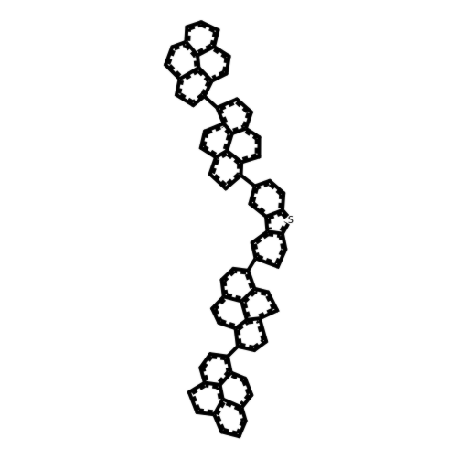 c1cc2ccc3ccc(-c4ccc5ccc6c(-c7ccc8sc9ccc(-c%10ccc%11ccc%12c(-c%13ccc%14ccc%15cccc%16ccc%13c%14c%15%16)ccc%13ccc%10c%11c%13%12)cc9c8c7)ccc7ccc4c5c76)c4ccc(c1)c2c34